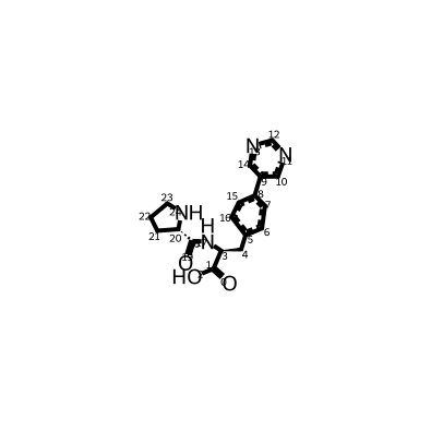 O=C(O)[C@H](Cc1ccc(-c2cncnc2)cc1)NC(=O)[C@@H]1CCCN1